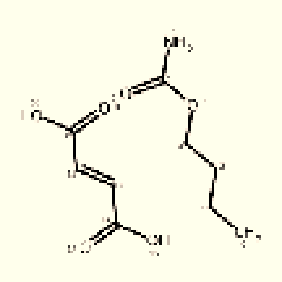 CCCCOC(N)=O.O=C(O)C=CC(=O)O